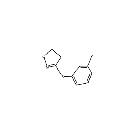 Cc1cccc(SC2=NOCC2)c1